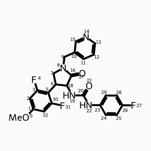 COc1cc(F)c(C2CN(Cc3cccnc3)C(=O)C2NC(=O)Nc2ccc(F)cc2)c(F)c1